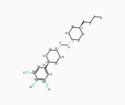 CCCC[C@H]1CC[C@H](CC[C@H]2CC[C@H](c3cc(F)c(F)c(F)c3)CC2)CC1